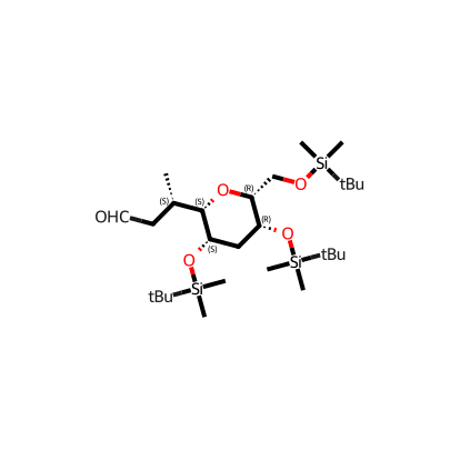 C[C@@H](CC=O)[C@@H]1O[C@H](CO[Si](C)(C)C(C)(C)C)[C@H](O[Si](C)(C)C(C)(C)C)C[C@@H]1O[Si](C)(C)C(C)(C)C